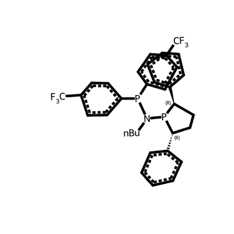 CCCCN(P(c1ccc(C(F)(F)F)cc1)c1ccc(C(F)(F)F)cc1)P1[C@@H](c2ccccc2)CC[C@@H]1c1ccccc1